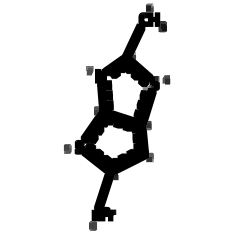 CCCc1cc2sc(C)nc2s1